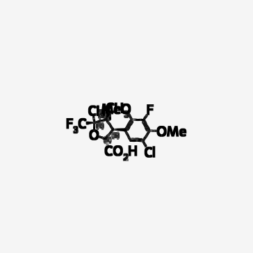 COc1c(Cl)cc([C@H]2[C@H](C(=O)O)O[C@@](C)(C(F)(F)F)[C@H]2C)c(OC)c1F